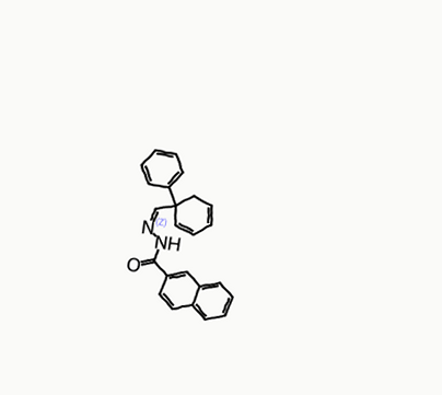 O=C(N/N=C\C1(c2ccccc2)C=CC=CC1)c1ccc2ccccc2c1